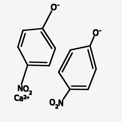 O=[N+]([O-])c1ccc([O-])cc1.O=[N+]([O-])c1ccc([O-])cc1.[Ca+2]